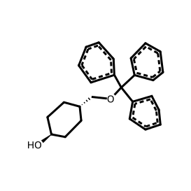 O[C@H]1CC[C@H](COC(c2ccccc2)(c2ccccc2)c2ccccc2)CC1